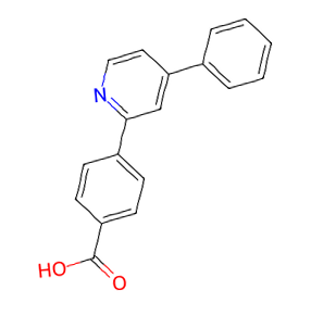 O=C(O)c1ccc(-c2cc(-c3ccccc3)ccn2)cc1